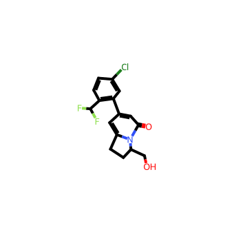 O=c1cc(-c2cc(Cl)ccc2C(F)F)cc2n1C(CO)CC2